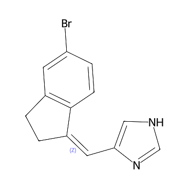 Brc1ccc2c(c1)CC/C2=C/c1c[nH]cn1